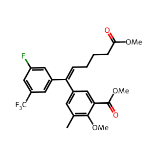 COC(=O)CCC/C=C(/c1cc(F)cc(C(F)(F)F)c1)c1cc(C)c(OC)c(C(=O)OC)c1